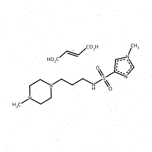 CN1CCN(CCCNS(=O)(=O)c2cn(C)cn2)CC1.O=C(O)/C=C/C(=O)O